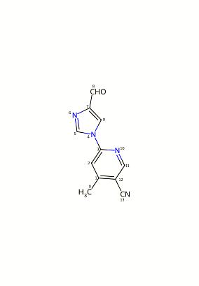 Cc1cc(-n2cnc(C=O)c2)ncc1C#N